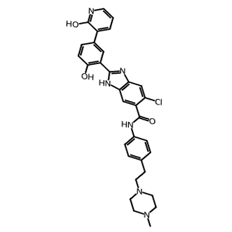 CN1CCN(CCc2ccc(NC(=O)c3cc4[nH]c(-c5cc(-c6cccnc6O)ccc5O)nc4cc3Cl)cc2)CC1